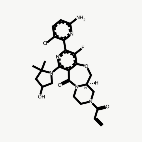 C=CC(=O)N1CCN2C(=O)c3c(N4CC(O)CC4(C)C)nc(-c4nc(N)ccc4Cl)c(F)c3OC[C@H]2C1